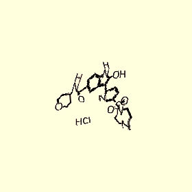 CN1CCN(S(=O)(=O)c2ccc(-c3c(O)[nH]c4ccc(C(=O)NC5CCOCC5)cc34)nc2)CC1.Cl